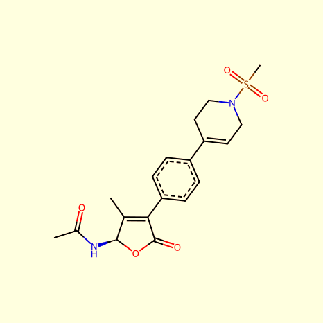 CC(=O)N[C@@H]1OC(=O)C(c2ccc(C3=CCN(S(C)(=O)=O)CC3)cc2)=C1C